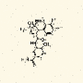 COc1c([C@H]2[C@@H](C(=O)Nc3cc(C(N)=O)ncc3C)O[C@](C)(C(F)(F)F)[C@H]2C)ccc(F)c1F